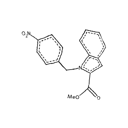 COC(=O)c1cc2ccccc2n1Cc1ccc([N+](=O)[O-])cc1